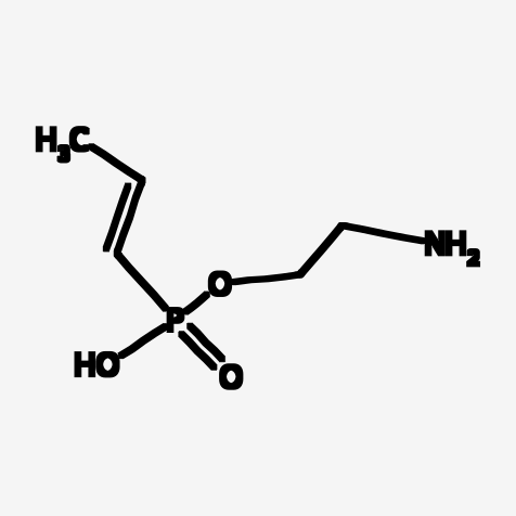 CC=CP(=O)(O)OCCN